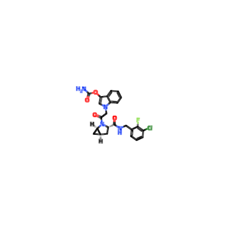 NC(=O)Oc1cn(CC(=O)N2[C@@H]3C[C@@H]3C[C@H]2C(=O)NCc2cccc(Cl)c2F)c2ccccc12